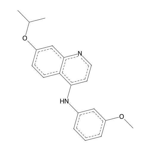 COc1cccc(Nc2ccnc3cc(OC(C)C)ccc23)c1